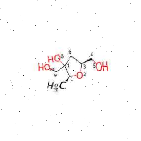 C[C@@H]1O[C@H](CO)CC1(O)CO